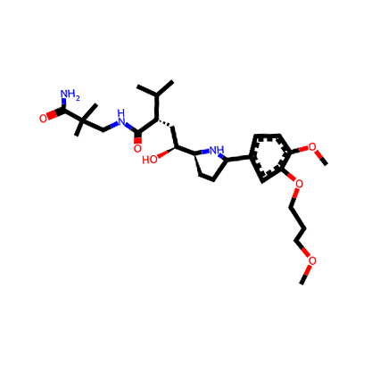 COCCCOc1cc(C2CC[C@@H]([C@@H](O)C[C@H](C(=O)NCC(C)(C)C(N)=O)C(C)C)N2)ccc1OC